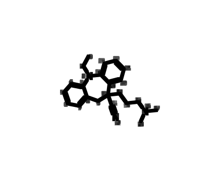 CCN1c2ccccc2CC(C#N)(CCCN(C)C)c2ccccc21